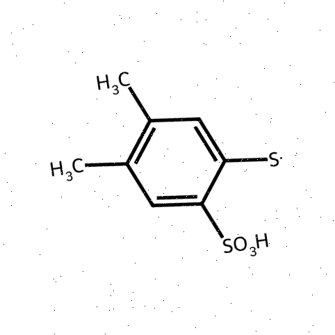 Cc1cc([S])c(S(=O)(=O)O)cc1C